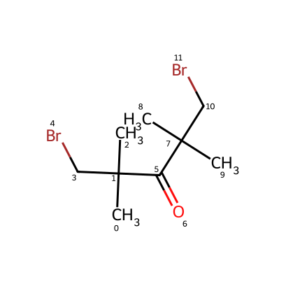 CC(C)(CBr)C(=O)C(C)(C)CBr